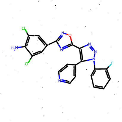 Nc1c(Cl)cc(-c2noc(-c3nnn(-c4ccccc4F)c3-c3ccncc3)n2)cc1Cl